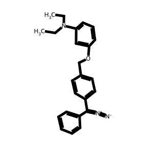 CCN(CC)c1cccc(OCc2ccc(C(=[N+]=[N-])c3ccccc3)cc2)c1